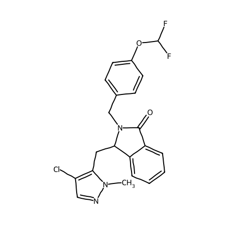 Cn1ncc(Cl)c1CC1c2ccccc2C(=O)N1Cc1ccc(OC(F)F)cc1